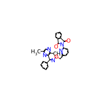 Cc1cnc(C)c(/C(=N\OCc2cccc(N3C(=O)c4ccccc4C3=O)n2)c2ccccc2)n1